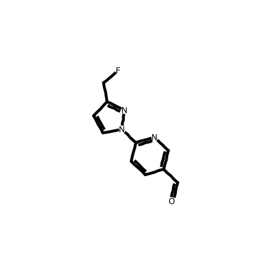 O=Cc1ccc(-n2ccc(CF)n2)nc1